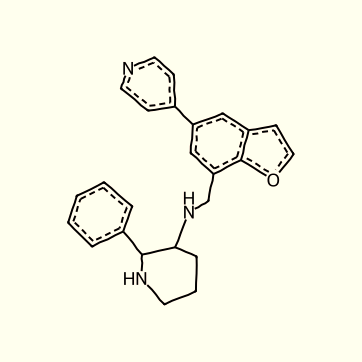 c1ccc(C2NCCCC2NCc2cc(-c3ccncc3)cc3ccoc23)cc1